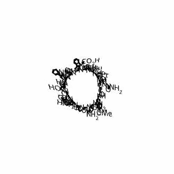 CCCC[C@H]1C(=O)N(C)[C@@H](CCCC)C(=O)N[C@@H](CC(C)C)C(=O)N[C@H](C(=O)NCC(N)=O)CSCC(=O)N[C@@H](Cc2ccc(OC)cc2)C(=O)N(C)[C@@H](C)C(=O)N[C@@H](CC(N)=O)C(=O)N2CCC[C@H]2C(=O)N[C@@H](Cc2c[nH]cn2)C(=O)N[C@@H](CCC(N)=O)C(=O)N2C[C@H](O)C[C@H]2C(=O)N[C@@H](Cc2c[nH]c3ccccc23)C(=O)N[C@@H](CO)C(=O)N[C@@H](Cc2cn(CC(=O)O)c3ccccc23)C(=O)N1C